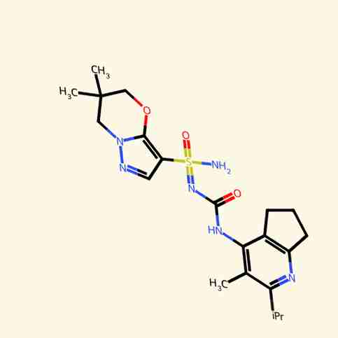 Cc1c(C(C)C)nc2c(c1NC(=O)N=S(N)(=O)c1cnn3c1OCC(C)(C)C3)CCC2